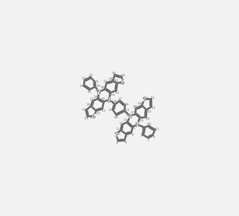 c1ccc(N2c3cc4ccsc4cc3B(c3ccc(B4c5cc6sccc6cc5N(c5ccccc5)c5cc6ccsc6cc54)cc3)c3cc4sccc4cc32)cc1